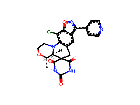 C[C@@H]1OCCN2c3c(cc4c(-c5ccncc5)noc4c3Cl)CC3(C(=O)NC(=O)NC3=O)[C@@H]12